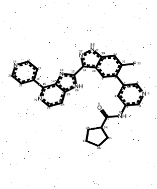 O=C(Nc1cncc(-c2cc3c(-c4nc5c(-c6ccncc6)nccc5[nH]4)n[nH]c3cc2F)c1)C1CCCC1